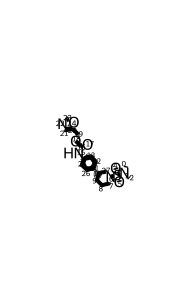 CN(C)S(=O)(=O)N1CCC[C@H](c2ccc(NC(=O)OCc3cnco3)cc2)C1